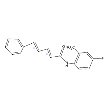 O=C(/C=C/C=C/c1ccccc1)Nc1ccc(F)cc1C(=O)O